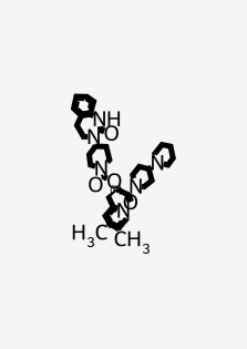 Cc1cnc(C[C@@H](OC(=O)N2CCC(N3CCc4ccccc4NC3=O)CC2)C(=O)N2CCC(N3CCCCC3)CC2)cc1C